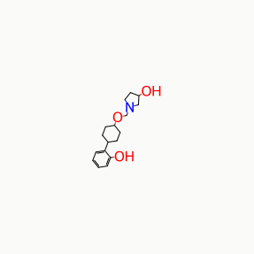 Oc1ccccc1C1CCC(OCN2CCC(O)C2)CC1